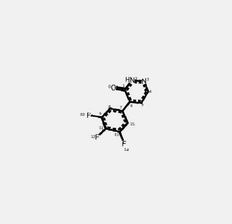 O=c1[nH]nccc1-c1cc(F)c(F)c(F)c1